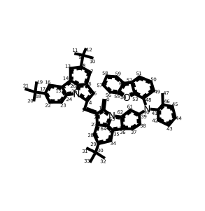 C=c1/c(=C\c2cc3cc(C(C)(C)C)cc4c5cc(C(C)(C)C)ccc5n2c34)c2cc(C(C)(C)C)cc3c4ccc(N(c5ccccc5C)c5cccc6c5oc5ccccc56)cc4n1c23